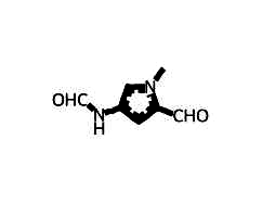 Cn1cc(NC=O)cc1C=O